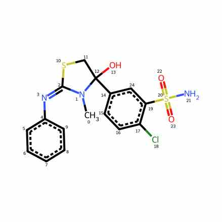 CN1/C(=N\c2ccccc2)SCC1(O)c1ccc(Cl)c(S(N)(=O)=O)c1